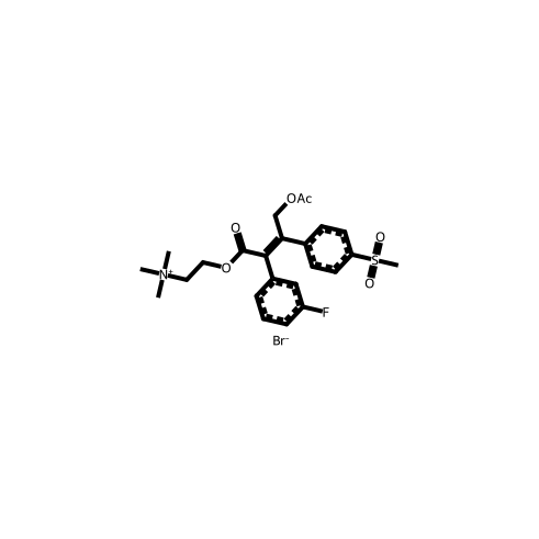 CC(=O)OCC(=C(C(=O)OCC[N+](C)(C)C)c1cccc(F)c1)c1ccc(S(C)(=O)=O)cc1.[Br-]